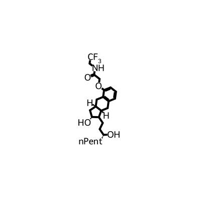 CCCCC[C@@H](O)CCC1[C@H](O)C[C@@H]2Cc3c(cccc3OCC(=O)NCC(F)(F)F)C[C@H]12